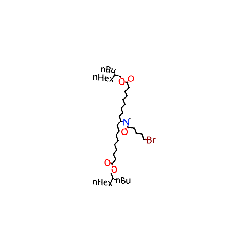 CCCCCCC(CCCC)COC(=O)CCCCCCCCC(CCCCCCCCC(=O)OCC(CCCC)CCCCCC)N(C)C(=O)CCCCBr